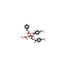 CC(=O)OC1S[C@H](COC(=O)c2ccc(C)cc2)[C@H](OC(=O)c2ccc(C)cc2)[C@H]1OC(=O)OCc1ccccc1